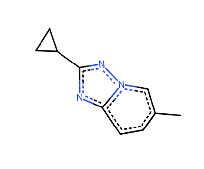 Cc1ccc2nc(C3CC3)nn2c1